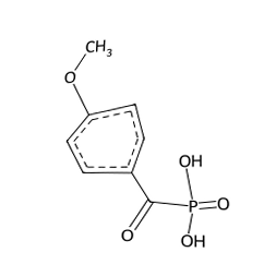 COc1ccc(C(=O)P(=O)(O)O)cc1